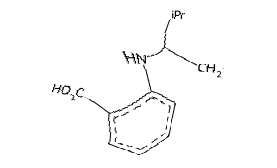 [CH2]C(Nc1ccccc1C(=O)O)C(C)C